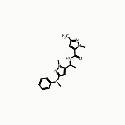 CC(NC(=O)c1cc(C(F)(F)F)nn1C)c1cc(N(C)c2ccccc2)nn1C